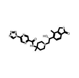 Cc1c([C@@H](O)CN2CCC(C)(NC(=O)c3cnc(-n4cnnn4)cn3)CC2)ccc2c1COC2=O